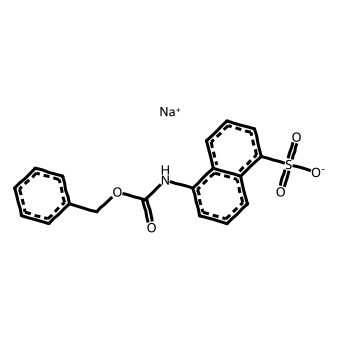 O=C(Nc1cccc2c(S(=O)(=O)[O-])cccc12)OCc1ccccc1.[Na+]